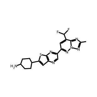 Cc1nc2c(C(F)F)cc(-c3cnc4cc(C5CCC(N)CC5)sc4n3)nn2n1